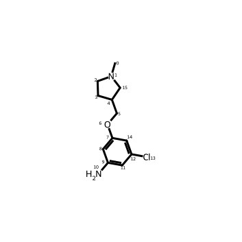 CN1CCC(COc2cc(N)cc(Cl)c2)C1